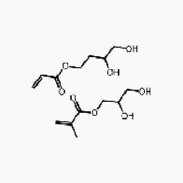 C=C(C)C(=O)OCC(O)CO.C=CC(=O)OCCC(O)CO